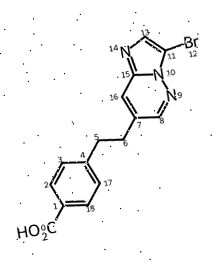 O=C(O)c1ccc(CCc2cnn3c(Br)cnc3c2)cc1